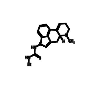 CCNC(=S)Nn1cc2c3c(cccc31)C1=CCCN(C)[C@@H]1C2